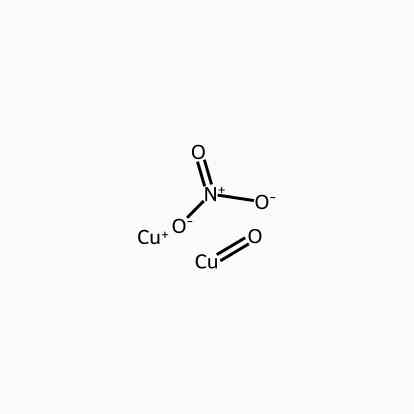 O=[N+]([O-])[O-].[Cu+].[O]=[Cu]